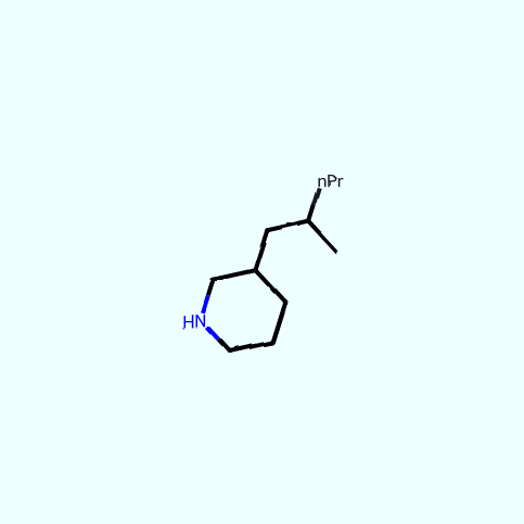 CCCC(C)CC1CCCNC1